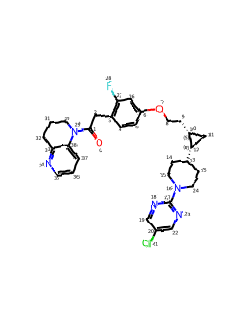 O=C(Cc1ccc(OCC[C@@H]2C[C@@H]2C2CCN(c3ncc(Cl)cn3)CC2)cc1F)N1CCCc2ncccc21